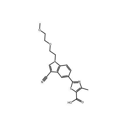 COCCOCCn1cc(C#N)c2cc(-c3nc(C)c(C(=O)O)s3)ccc21